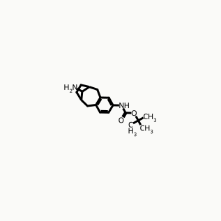 CC(C)(C)OC(=O)Nc1ccc2c(c1)CC1CCC(C2)C1N